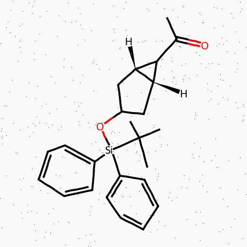 CC(=O)C1[C@H]2CC(O[Si](c3ccccc3)(c3ccccc3)C(C)(C)C)C[C@@H]12